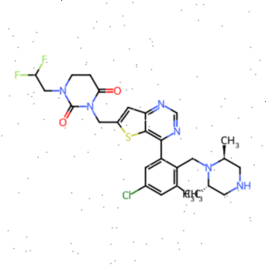 Cc1cc(Cl)cc(-c2ncnc3cc(CN4C(=O)CCN(CC(F)F)C4=O)sc23)c1CN1[C@@H](C)CNC[C@@H]1C